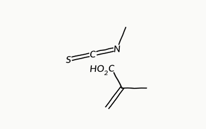 C=C(C)C(=O)O.CN=C=S